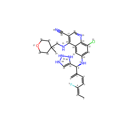 C=C(/C=C\C(F)=C/C)[C@H](Nc1cc(Cl)c2ncc(C#N)c(NCC3(C)CCOCC3)c2c1)C1=CNNN1